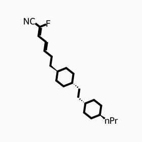 CCC[C@H]1CC[C@H](CC[C@H]2CC[C@H](CCC=CC=C(F)C#N)CC2)CC1